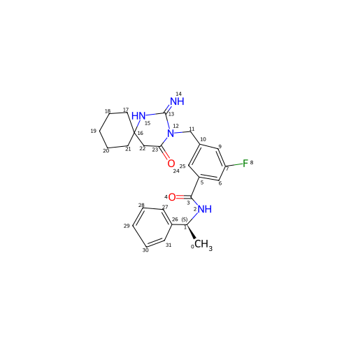 C[C@H](NC(=O)c1cc(F)cc(CN2C(=N)NC3(CCCCC3)CC2=O)c1)c1ccccc1